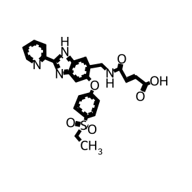 CCS(=O)(=O)c1ccc(Oc2cc3nc(-c4ccccn4)[nH]c3cc2CNC(=O)C=CC(=O)O)cc1